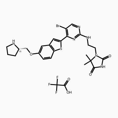 CC1(C)C(=O)NC(=O)N1CCNc1ncc(Br)c(-c2cc3cc(OC[C@@H]4CCCN4)ccc3s2)n1.O=C(O)C(F)(F)F